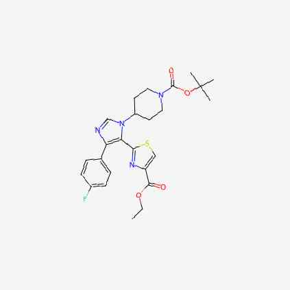 CCOC(=O)c1csc(-c2c(-c3ccc(F)cc3)ncn2C2CCN(C(=O)OC(C)(C)C)CC2)n1